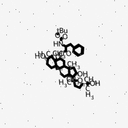 CC(C)(C)OC(=O)NC(Cc1ccccc1)C(=O)O[C@H]1CC2[C@]3(CC[C@]4(C)[C@@H]([C@@]5(C)CC[C@@H](C(C)(C)O)O5)[C@@H](O)C[C@@]24C)C[C@@]32CC[C@H](O)C(C)(C)[C@H]12